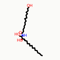 CCCCCCCCCCCCCC=CC(O)C(CO)NC(=O)CCCCCCCCCCCCCCCO